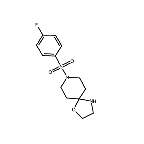 O=S(=O)(c1ccc(F)cc1)N1CCC2(CC1)NCCO2